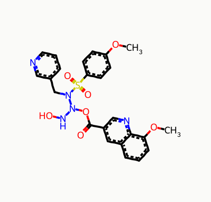 COc1ccc(S(=O)(=O)N(Cc2cccnc2)N(NO)OC(=O)c2cnc3c(OC)cccc3c2)cc1